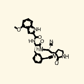 COc1cccc2[nH]c(C(=O)N[C@@H](Cc3cccc(C#N)c3)C(=O)N[C@H](C#N)CC3CCNC3=O)cc12